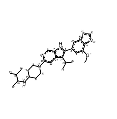 COc1cc(-c2[nH]c3cnc(N4CCC(NC(C)C(C)C)CC4)cc3c2C(C)C)cn2ncnc12